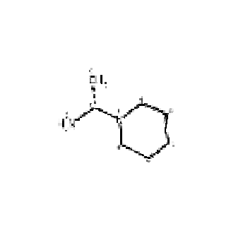 [CH2][C@@H](N)N1CCCCC1